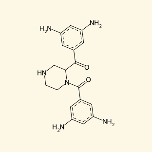 Nc1cc(N)cc(C(=O)C2CNCCN2C(=O)c2cc(N)cc(N)c2)c1